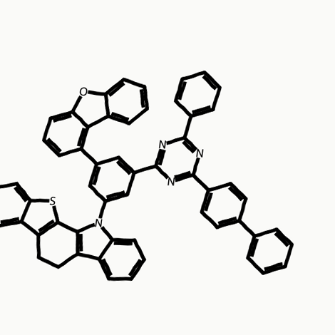 c1ccc(-c2ccc(-c3nc(-c4ccccc4)nc(-c4cc(-c5cccc6oc7ccccc7c56)cc(-n5c6c(c7ccccc75)CCc5c-6sc6ccccc56)c4)n3)cc2)cc1